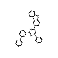 c1ccc(-c2cc(-c3ccc4oc5ccccc5c4c3)nc(-c3cccc(-c4ccncc4)c3)n2)cc1